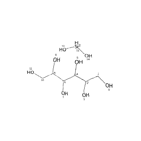 OCC(O)C(O)C(O)C(O)CO.O[SiH2]O